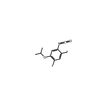 CC(C)Oc1cc(N=C=O)c(F)cc1F